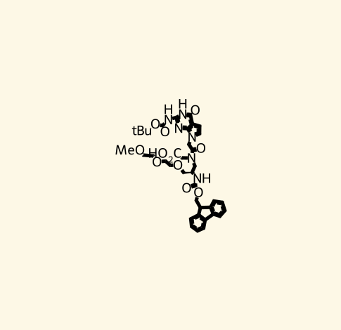 COCCOCCOC[C@@H](CN(CC(=O)O)C(=O)Cn1ccc2c(=O)[nH]c(NC(=O)OC(C)(C)C)nc21)NC(=O)OCC1c2ccccc2-c2ccccc21